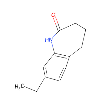 CCc1ccc2c(c1)NC(=O)CCC2